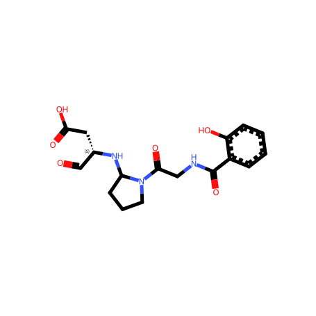 O=C[C@H](CC(=O)O)NC1CCCN1C(=O)CNC(=O)c1ccccc1O